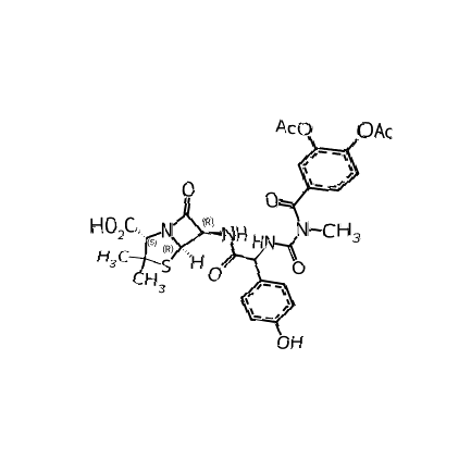 CC(=O)Oc1ccc(C(=O)N(C)C(=O)NC(C(=O)N[C@@H]2C(=O)N3[C@@H]2SC(C)(C)[C@@H]3C(=O)O)c2ccc(O)cc2)cc1OC(C)=O